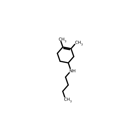 CCCCNC1CCC(C)=C(C)C1